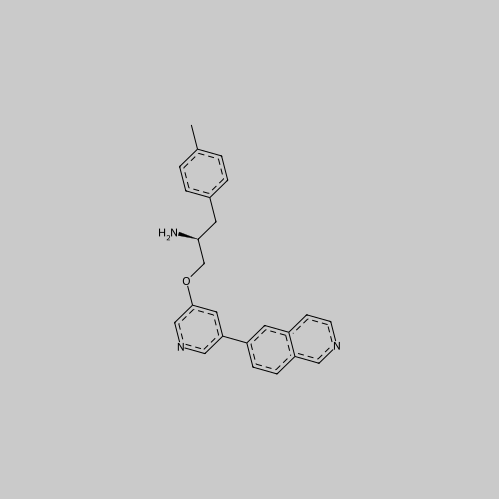 Cc1ccc(C[C@H](N)COc2cncc(-c3ccc4cnccc4c3)c2)cc1